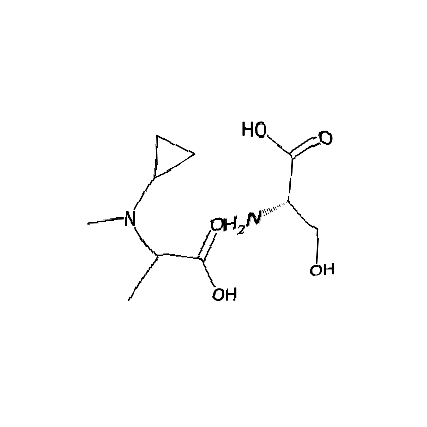 CC(C(=O)O)N(C)C1CC1.N[C@@H](CO)C(=O)O